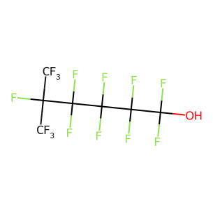 OC(F)(F)C(F)(F)C(F)(F)C(F)(F)C(F)(C(F)(F)F)C(F)(F)F